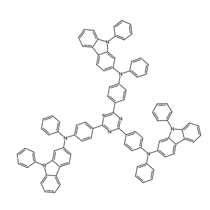 c1ccc(N(c2ccc(-c3nc(-c4ccc(N(c5ccccc5)c5ccc6c7ccccc7n(-c7ccccc7)c6c5)cc4)nc(-c4ccc(N(c5ccccc5)c5ccc6c7ccccc7n(-c7ccccc7)c6c5)cc4)n3)cc2)c2ccc3c4ccccc4n(-c4ccccc4)c3c2)cc1